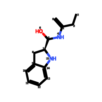 C=C(CC)NC(O)[C@@H]1Cc2ccccc2N1